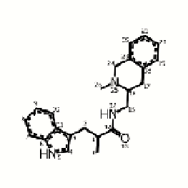 CC(Cc1c[nH]c2ccccc12)C(=O)NCC1Cc2ccccc2CN1C